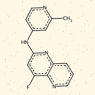 Cc1cc(Nc2cc(F)c3ncccc3n2)ccn1